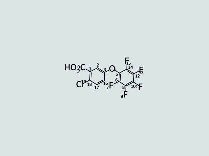 O=C(O)c1cc(Oc2c(F)c(F)c(F)c(F)c2F)ccc1Cl